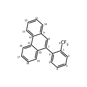 FC(F)(F)c1ccccc1-c1cc2ccccc2c2ccccc12